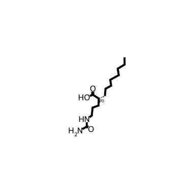 CCCCCCCC[C@H](CCCNC(N)=O)C(=O)O